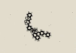 O=C(CC(Cc1ccccc1)C(=O)O)c1cccc(NS(=O)(=O)c2ccc3ccccc3c2Cc2ccc(-c3ccccc3)cc2)c1